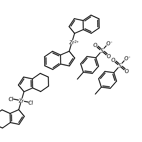 C1=C[CH]([Zr+2][CH]2C=Cc3ccccc32)c2ccccc21.Cc1ccc(S(=O)(=O)[O-])cc1.Cc1ccc(S(=O)(=O)[O-])cc1.[Cl][Zr]([Cl])([CH]1C=CC2=C1CCCC2)[CH]1C=CC2=C1CCCC2